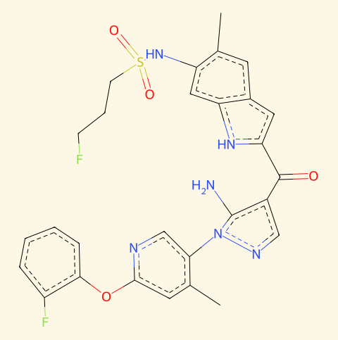 Cc1cc2cc(C(=O)c3cnn(-c4cnc(Oc5ccccc5F)cc4C)c3N)[nH]c2cc1NS(=O)(=O)CCCF